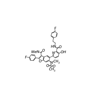 CNC(=O)c1c(-c2ccc(F)cc2)oc2cc(N(C)S(C)(=O)=O)c(-c3ccc(O)c(C(=O)NCCc4ccc(F)cc4)n3)cc12